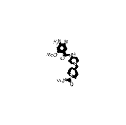 COc1cc(N)c(Br)cc1C(=O)NC1CCN(CC2CCN(C(N)=O)CC2)CC1